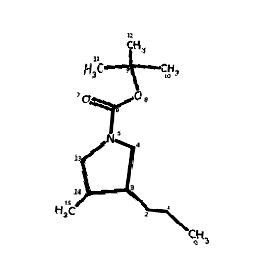 CCCC1CN(C(=O)OC(C)(C)C)CC1C